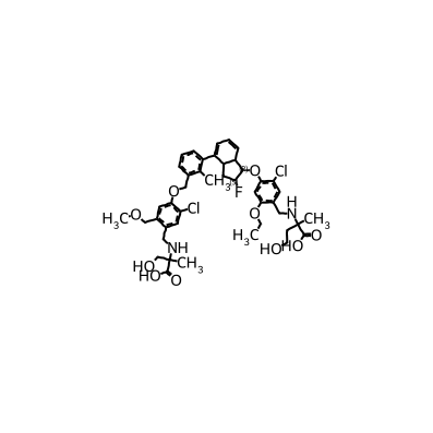 CCOc1cc(O[C@@H]2C3C=CC=C(c4cccc(COc5cc(COC)c(CNC(C)(CO)C(=O)O)cc5Cl)c4C)C3C[C@@H]2F)c(Cl)cc1CNC(C)(CCO)C(=O)O